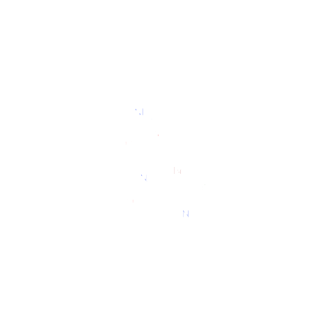 NC(=O)OC1CCN(c2c(C=O)cnc(Cl)c2Br)C1